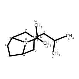 CC(C)CN1CC2CCC(C1)N2C(C)C